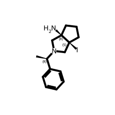 C[C@H](c1ccccc1)N1C[C@]2(N)CCC[C@]2(I)C1